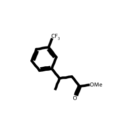 COC(=O)CC(C)c1cccc(C(F)(F)F)c1